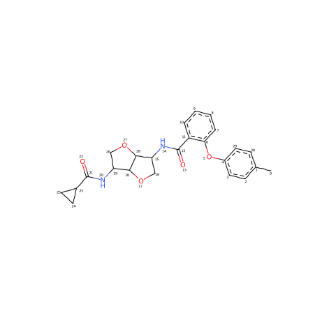 Cc1ccc(Oc2ccccc2C(=O)NC2COC3C(NC(=O)C4CC4)COC23)cc1